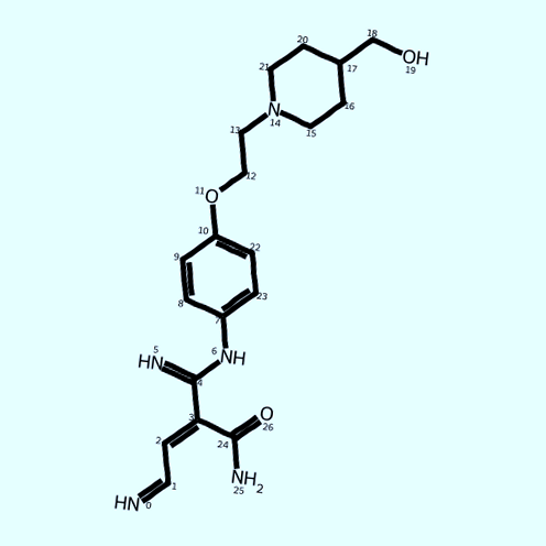 N=C/C=C(/C(=N)Nc1ccc(OCCN2CCC(CO)CC2)cc1)C(N)=O